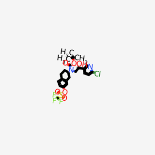 CC(C)(C)OC(=O)N(C[C@H](O)c1ccc(Cl)nc1)C1CCc2ccc(OS(=O)(=O)C(F)(F)F)cc2C1